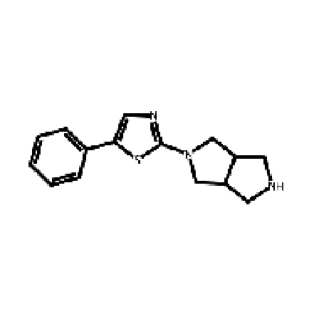 c1ccc(-c2cnc(N3CC4CNCC4C3)s2)cc1